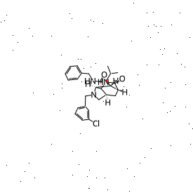 CC(C)C[C@H]1[C@@H]2N(Cc3cccc(Cl)c3)C[C@@H]3C[C@H]1C(=O)N[C@@]32C(=O)NCc1ccccc1